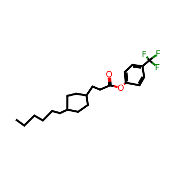 CCCCCCC1CCC(CCC(=O)Oc2ccc(C(F)(F)F)cc2)CC1